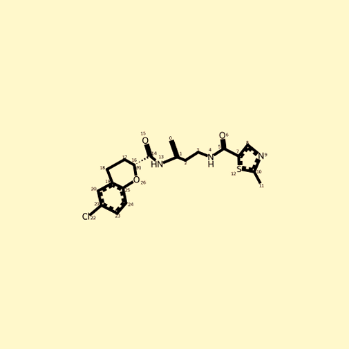 C=C(CCNC(=O)c1cnc(C)s1)NC(=O)[C@H]1CCc2cc(Cl)ccc2O1